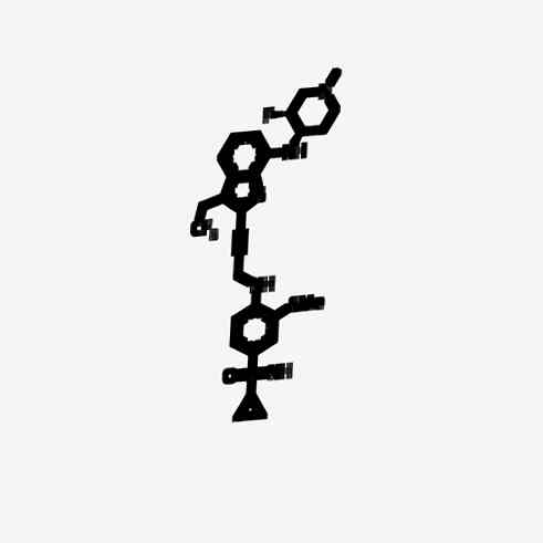 CSc1cc(S(=N)(=O)C2CC2)ccc1NCC#Cc1sc2c(N[C@@H]3CCN(C)C[C@H]3F)cccc2c1CC(F)(F)F